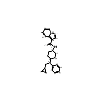 O=C(NC1CCC(N(CC2CC2)c2ccccc2)CC1)c1cnn2cccnc12